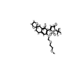 COCCOCOc1cc2c(c(F)c1C1=CC(=O)N(C(C)(C)C)S1(=O)=O)CC1(CC2)OCCO1